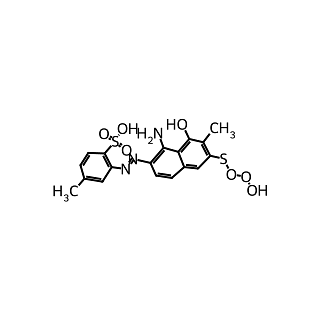 Cc1ccc(S(=O)(=O)O)c(N=Nc2ccc3cc(SOOO)c(C)c(O)c3c2N)c1